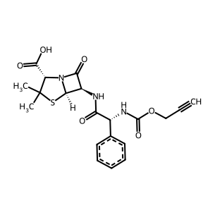 C#CCOC(=O)N[C@@H](C(=O)N[C@@H]1C(=O)N2[C@@H]1SC(C)(C)[C@@H]2C(=O)O)c1ccccc1